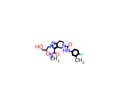 Cc1cc(NC(=O)N2CCc3nn4c(c3C2)C(=O)N(C)OC(CO)C4)ccc1F